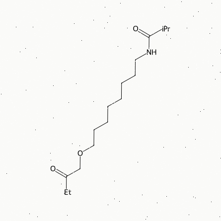 CCC(=O)COCCCCCCCCNC(=O)C(C)C